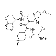 CCO[C@@H]1C[C@@H]2CN(C(=O)[C@@H](NC(=O)[C@@H](NC)C3CC3)C3CCC(F)(F)CC3)[C@H](C(=O)N[C@@H]3CCOc4ccccc43)CN2C1